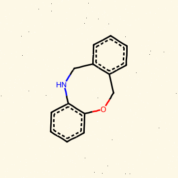 c1ccc2c(c1)CNc1ccccc1OC2